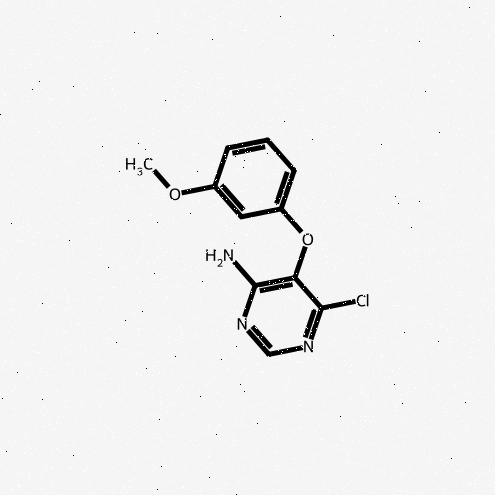 COc1cccc(Oc2c(N)ncnc2Cl)c1